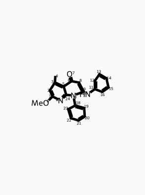 COc1cc(C)c2c(=O)cc(Nc3ccccc3)n(-c3ccccc3)c2n1